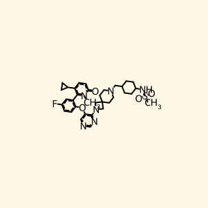 Cn1c(-c2cc(F)ccc2Oc2cncnc2N2CC3(CCN(CC4CCC(NS(C)(=O)=O)CC4)CC3)C2)c(C2CC2)ccc1=O